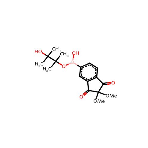 COC1(OC)C(=O)c2ccc(B(O)OC(C)(C)C(C)(C)O)cc2C1=O